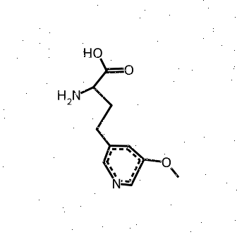 COc1cncc(CCC(N)C(=O)O)c1